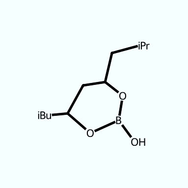 CCC(C)C1CC(CC(C)C)OB(O)O1